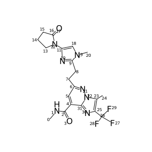 CNC(=O)c1cc(CCc2nc(N3CCCC3=O)cn2C)nn2c(C)c(C(F)(F)F)nc12